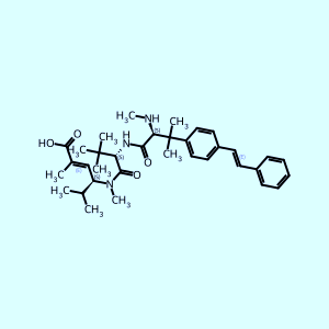 CN[C@H](C(=O)N[C@H](C(=O)N(C)[C@H](/C=C(\C)C(=O)O)C(C)C)C(C)(C)C)C(C)(C)c1ccc(/C=C/c2ccccc2)cc1